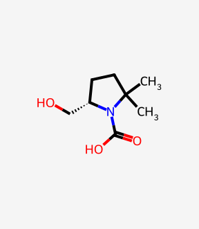 CC1(C)CC[C@@H](CO)N1C(=O)O